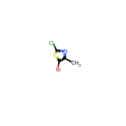 Cc1nc(Cl)sc1Br